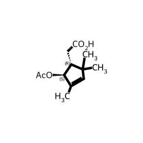 CC(=O)O[C@@H]1C(C)=CC(C)(C)[C@H]1CC(=O)O